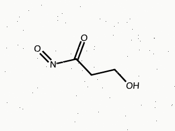 O=NC(=O)CCO